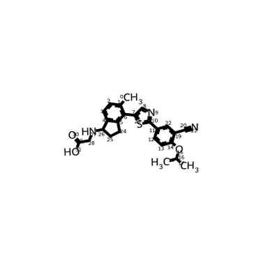 Cc1ccc2c(c1-c1cnc(-c3ccc(OC(C)C)c(C#N)c3)s1)CCC2NCC(=O)O